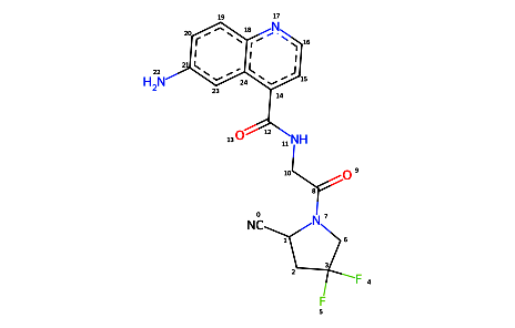 N#CC1CC(F)(F)CN1C(=O)CNC(=O)c1ccnc2ccc(N)cc12